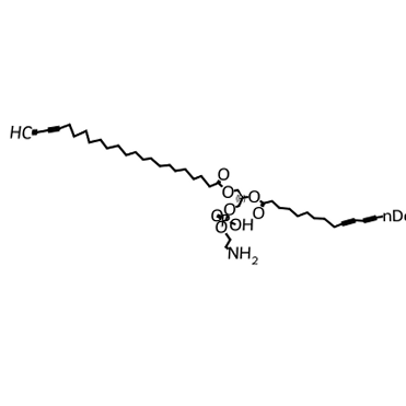 C#CC#CCCCCCCCCCCCCCCCCCCC(=O)OC[C@H](COP(=O)(O)OCCN)OC(=O)CCCCCCCCC#CC#CCCCCCCCCCC